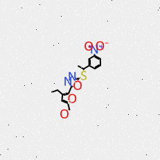 CCc1cc(C=O)oc1-c1nnc(SC(C)c2cccc([N+](=O)[O-])c2)o1